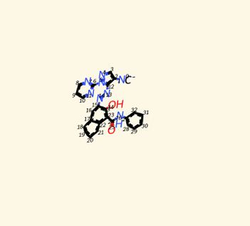 [C-]#[N+]c1cnn(-c2ncccn2)c1/N=N/c1cc2ccccc2c(C(=O)Nc2ccccc2)c1O